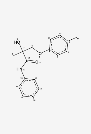 Cc1ccc(OCC(C)(O)C(=O)Nc2ccncc2)cc1